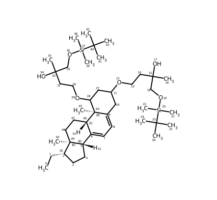 CC[C@H]1CC[C@H]2C3=CC=C4CC(OCCC(C)(O)CO[Si](C)(C)C(C)(C)C)CC(OCCC(C)(O)CO[Si](C)(C)C(C)(C)C)[C@]4(C)[C@H]3CC[C@]12C